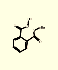 CCCCOC(=O)c1ccccc1C(=O)OO